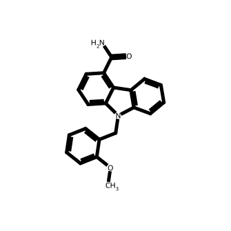 COc1ccccc1Cn1c2ccc[c]c2c2c(C(N)=O)cccc21